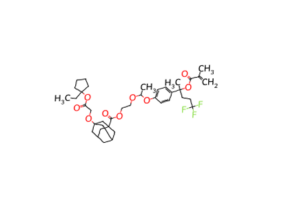 C=C(C)C(=O)OC(C)(CCC(F)(F)F)c1ccc(OC(C)OCCOC(=O)C23CC4CC(CC(OCC(=O)OC5(CC)CCCC5)(C4)C2)C3)cc1